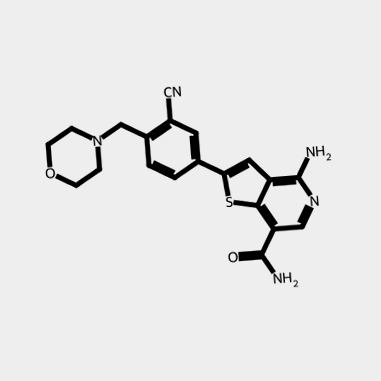 N#Cc1cc(-c2cc3c(N)ncc(C(N)=O)c3s2)ccc1CN1CCOCC1